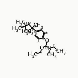 CCOC(Oc1ccc(C(C)(C)CC(C)(C)C)cc1)N(C)CC